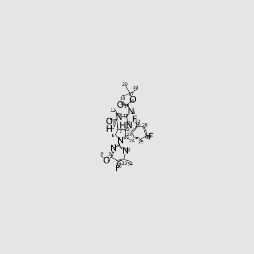 COc1nc(N2C[C@H]3C(=O)N(C)/C(=N\C(=O)OC(C)(C)C)N[C@@]3(c3ccc(F)cc3F)C2)nc(C)c1F